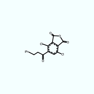 CC(C)CCC(=O)c1cc(Cl)c2c(c1Cl)C(=O)OC2=O